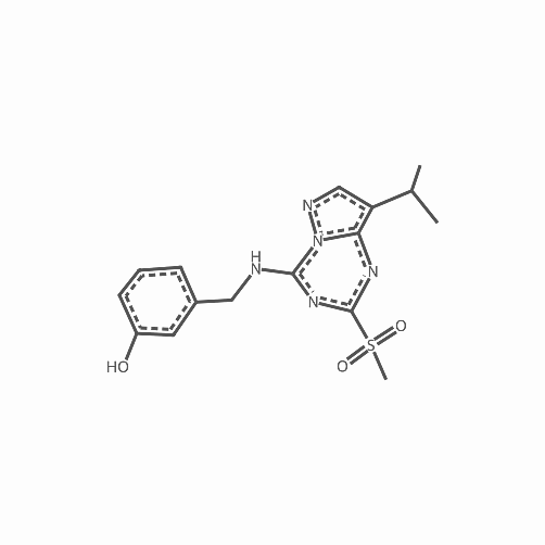 CC(C)c1cnn2c(NCc3cccc(O)c3)nc(S(C)(=O)=O)nc12